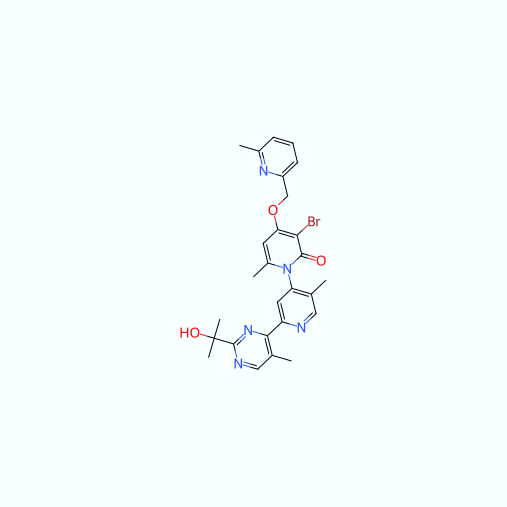 Cc1cccc(COc2cc(C)n(-c3cc(-c4nc(C(C)(C)O)ncc4C)ncc3C)c(=O)c2Br)n1